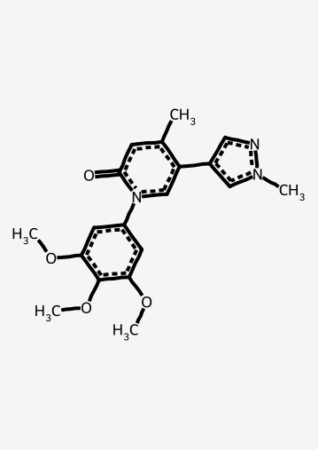 COc1cc(-n2cc(-c3cnn(C)c3)c(C)cc2=O)cc(OC)c1OC